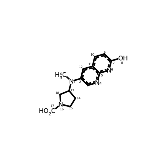 CN(c1cnc2nc(O)ccc2c1)C1CCN(C(=O)O)C1